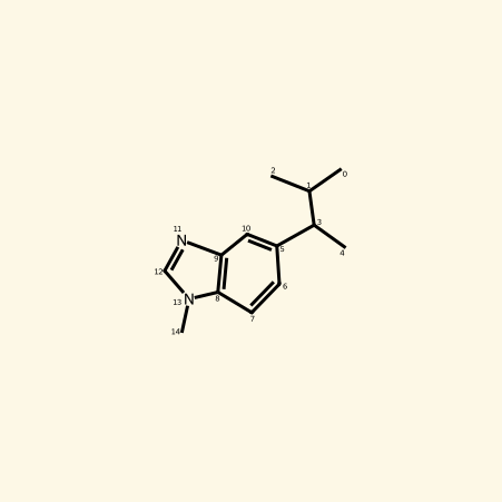 CC(C)C(C)c1ccc2c(c1)ncn2C